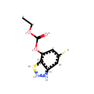 CCOC(=O)Oc1cc(F)cc2nnsc12